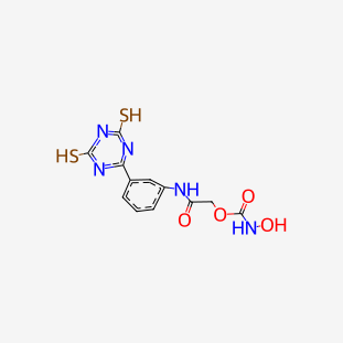 O=C(COC(=O)NO)Nc1cccc(-c2nc(S)nc(S)n2)c1